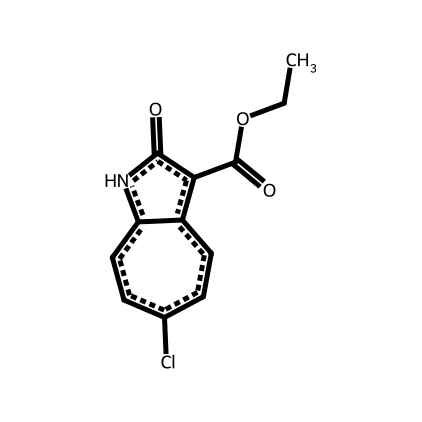 CCOC(=O)c1c2ccc(Cl)ccc-2[nH]c1=O